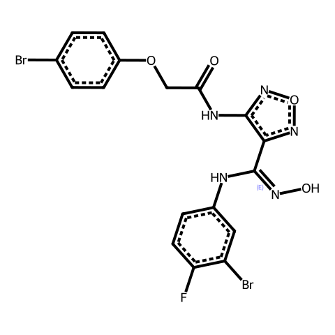 O=C(COc1ccc(Br)cc1)Nc1nonc1/C(=N\O)Nc1ccc(F)c(Br)c1